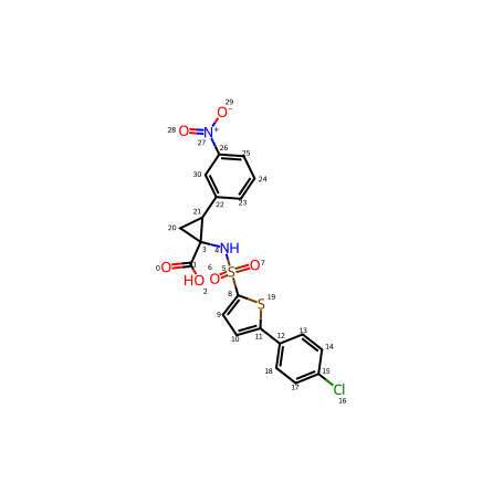 O=C(O)C1(NS(=O)(=O)c2ccc(-c3ccc(Cl)cc3)s2)CC1c1cccc([N+](=O)[O-])c1